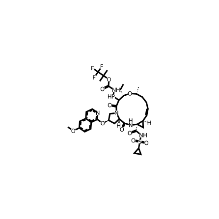 CC[C@@H]1O[C@H](C)CC/C=C\[C@H]2C[C@@]2(C(=O)NS(=O)(=O)C2CC2)NC(=O)[C@@H]2C[C@@H](Oc3nccc4cc(OC)ccc34)CN2C(=O)C1PNC(=O)OC(C)(C)C(F)(F)F